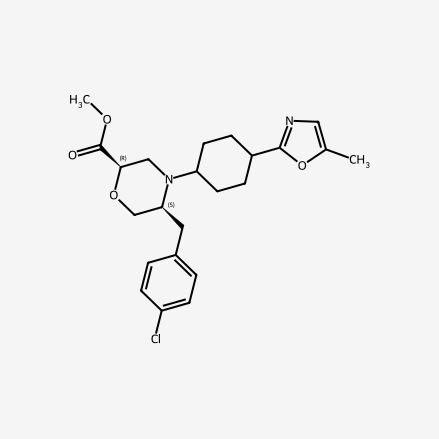 COC(=O)[C@H]1CN(C2CCC(c3ncc(C)o3)CC2)[C@@H](Cc2ccc(Cl)cc2)CO1